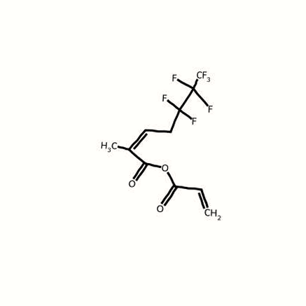 C=CC(=O)OC(=O)C(C)=CCC(F)(F)C(F)(F)C(F)(F)F